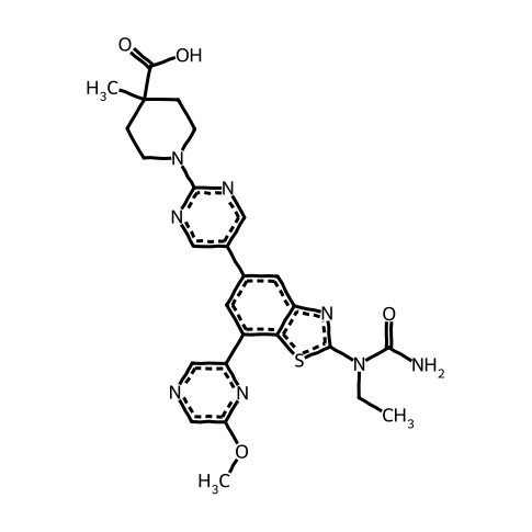 CCN(C(N)=O)c1nc2cc(-c3cnc(N4CCC(C)(C(=O)O)CC4)nc3)cc(-c3cncc(OC)n3)c2s1